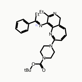 CCC1=NCC2=CC=CC(N3CCN(C(=O)OC(C)(C)C)CC3)=NC2=C1/N=C(\CC)c1ccccc1